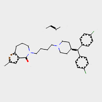 Cc1cc2c(s1)CCCN(CCCCN1CCC(=C(c3ccc(F)cc3)c3ccc(F)cc3)CC1)C2=O.O=C(O)C=CC(=O)O